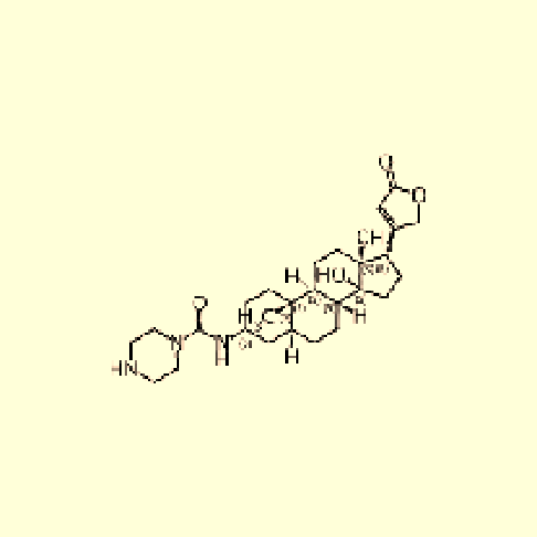 C[C@]12CC[C@H](NC(=O)N3CCNCC3)C[C@H]1CC[C@@H]1[C@@H]2CC[C@]2(C)[C@@H](C3=CC(=O)OC3)CC[C@]12O